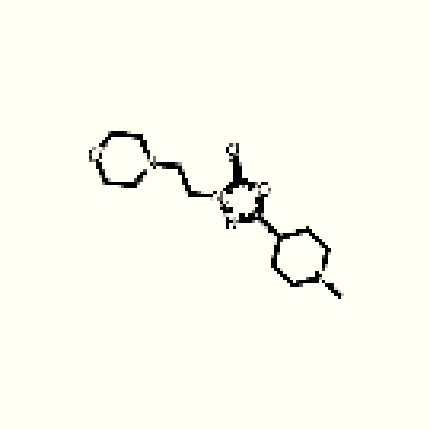 CN1CCC(c2nn(CCN3CCOCC3)c(=O)o2)CC1